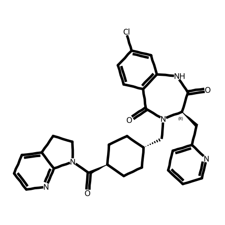 O=C1Nc2cc(Cl)ccc2C(=O)N(C[C@H]2CC[C@H](C(=O)N3CCc4cccnc43)CC2)[C@@H]1Cc1ccccn1